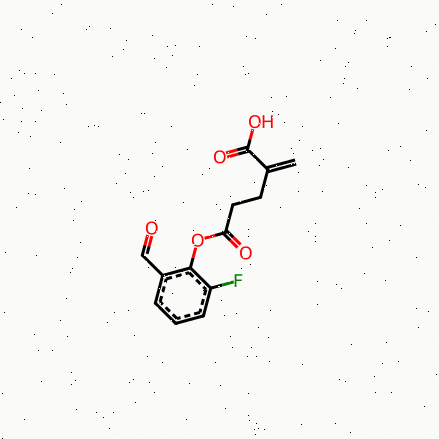 C=C(CCC(=O)Oc1c(F)cccc1C=O)C(=O)O